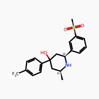 C[C@H]1CC(O)(c2ccc(C(F)(F)F)cc2)C[C@@H](c2cccc(S(C)(=O)=O)c2)N1